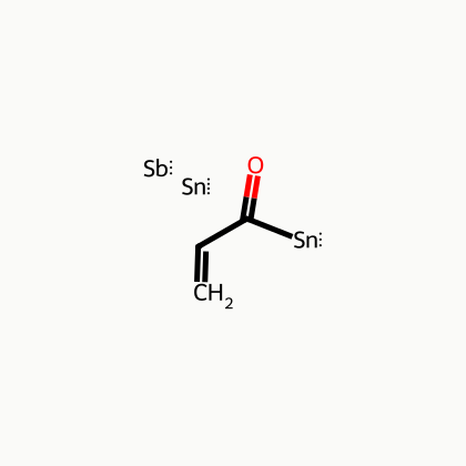 C=C[C](=O)[Sn].[Sb].[Sn]